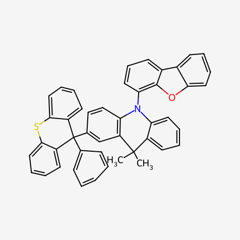 CC1(C)c2ccccc2N(c2cccc3c2oc2ccccc23)c2ccc(C3(c4ccccc4)c4ccccc4Sc4ccccc43)cc21